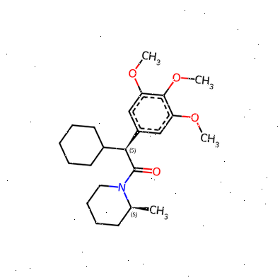 COc1cc([C@@H](C(=O)N2CCCC[C@@H]2C)C2CCCCC2)cc(OC)c1OC